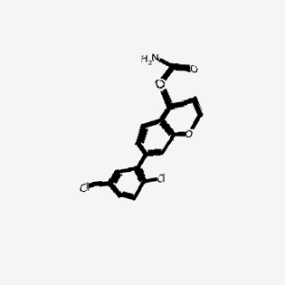 NC(=O)OC1CCOc2cc(-c3cc(Cl)ccc3Cl)ccc21